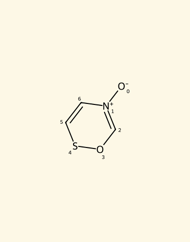 [O-][N+]1=COSC=C1